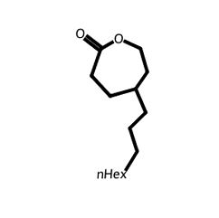 CCCCCCCCCC1CCOC(=O)CC1